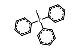 [I][Ti]([c]1ccccc1)([c]1ccccc1)[c]1ccccc1